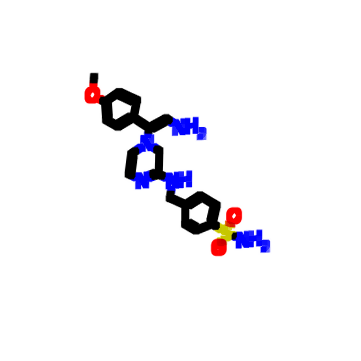 COc1ccc(/C(=C/N)N2C=CN=C(NCc3ccc(S(N)(=O)=O)cc3)C2)cc1